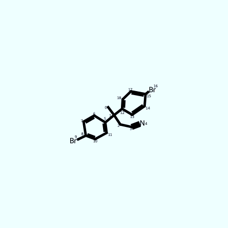 CC(CC#N)(c1ccc(Br)cc1)c1ccc(Br)cc1